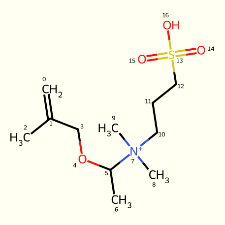 C=C(C)COC(C)[N+](C)(C)CCCS(=O)(=O)O